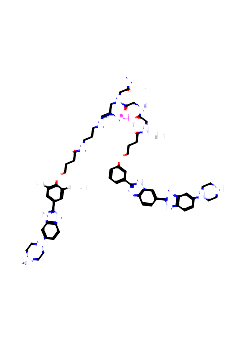 CCCN(CC(=O)N(CCC)CC(=O)N(CC(N)=O)C/C(N)=C/NCCCNC(=O)CCCOc1c(C(C)(C)C)cc(-c2nc3cc(N4CCN(C)CC4)ccc3[nH]2)cc1C(C)(C)C)C(=O)CCCOc1cccc(-c2nc3ccc(-c4nc5ccc(N6CCNCC6)cc5[nH]4)cc3[nH]2)c1